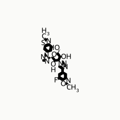 Cc1nc2cc(-c3cn([C@H]4[C@@H](O)[C@@H](CO)O[C@@H](c5ncnn5-c5ccc6nc(C)sc6c5)[C@@H]4O)nn3)cc(F)c2o1